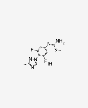 CSC(N)=Nc1cc(F)c(-n2cnc(C)n2)c(F)c1.I